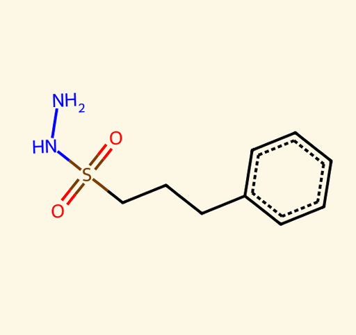 NNS(=O)(=O)CCCc1ccccc1